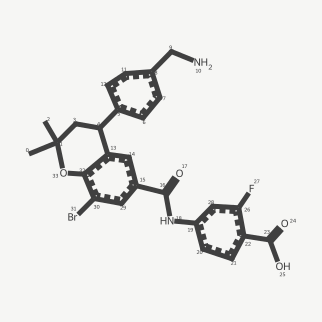 CC1(C)CC(c2ccc(CN)cc2)c2cc(C(=O)Nc3ccc(C(=O)O)c(F)c3)cc(Br)c2O1